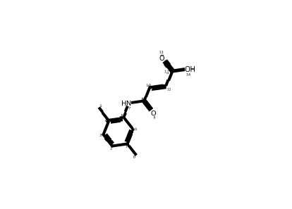 Cc1ccc(C)c(NC(=O)/C=C/C(=O)O)c1